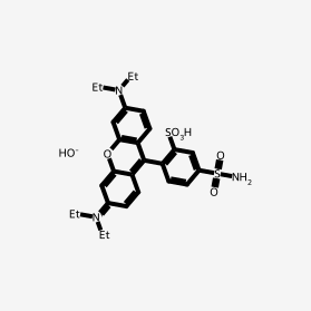 CCN(CC)c1ccc2c(-c3ccc(S(N)(=O)=O)cc3S(=O)(=O)O)c3ccc(=[N+](CC)CC)cc-3oc2c1.[OH-]